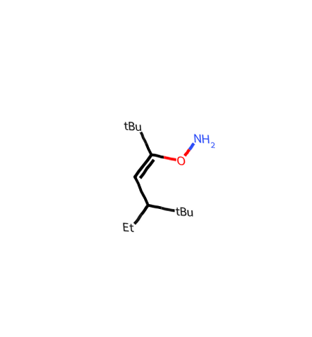 CCC(/C=C(\ON)C(C)(C)C)C(C)(C)C